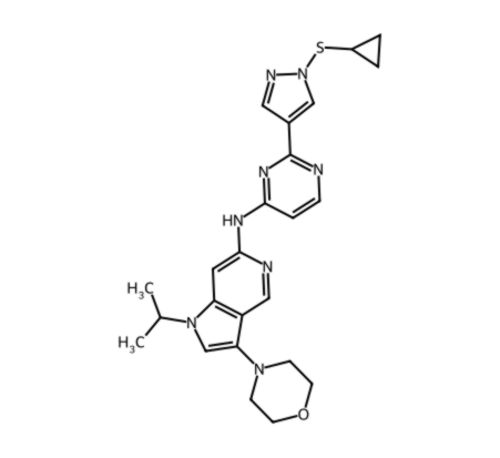 CC(C)n1cc(N2CCOCC2)c2cnc(Nc3ccnc(-c4cnn(SC5CC5)c4)n3)cc21